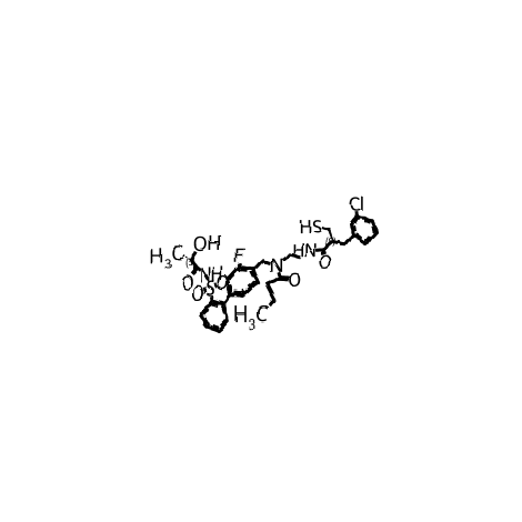 CCCC(=O)N(CCNC(=O)[C@@H](CS)Cc1cccc(Cl)c1)Cc1ccc(-c2ccccc2S(=O)(=O)NC(=O)[C@H](C)O)cc1F